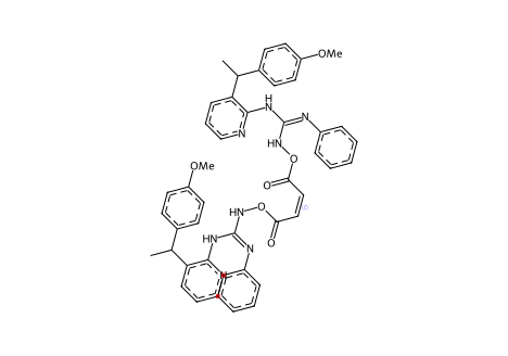 COc1ccc(C(C)c2cccnc2NC(=Nc2ccccc2)NOC(=O)/C=C\C(=O)ONC(=Nc2ccccc2)Nc2ncccc2C(C)c2ccc(OC)cc2)cc1